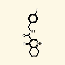 O=C(NCc1ccc(F)cc1)c1c[nH]c2c(c1=O)CCCC2